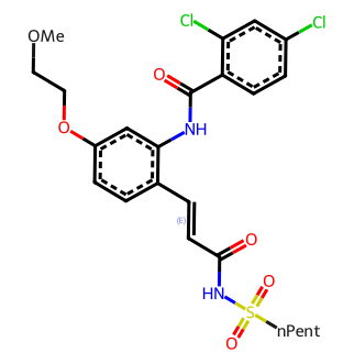 CCCCCS(=O)(=O)NC(=O)/C=C/c1ccc(OCCOC)cc1NC(=O)c1ccc(Cl)cc1Cl